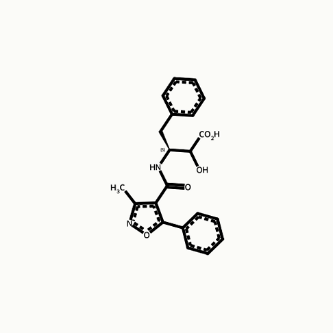 Cc1noc(-c2ccccc2)c1C(=O)N[C@@H](Cc1ccccc1)C(O)C(=O)O